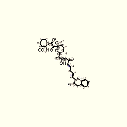 CC[C@H](Cc1ccccc1)[C@@H](O)/C=C/C/C=C/C(=O)[C@@H](C)[C@H](O)[C@@H](C)[C@@H]1CC[C@@H](C)[C@](O)(C(=O)C(=O)N2CCCC[C@H]2C(=O)O)O1